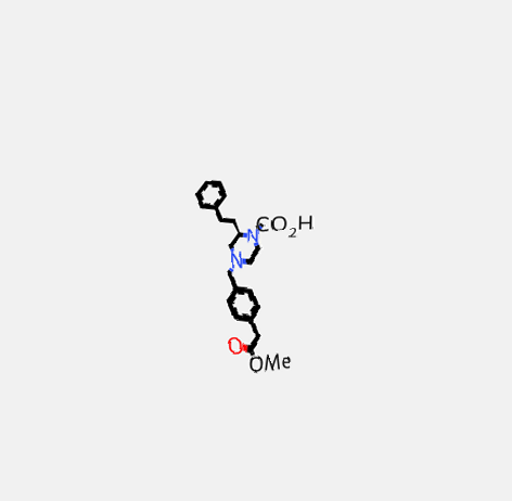 COC(=O)Cc1ccc(CN2CCN(C(=O)O)[C@H](CCc3ccccc3)C2)cc1